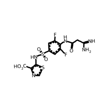 N=C(N)CC(=O)Nc1c(F)cc(S(=O)(=O)Nc2scnc2C(=O)O)cc1F